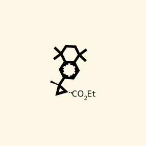 CCOC(=O)[C@@H]1C[C@]1(C)c1ccc2c(c1)C(C)(C)CCC2(C)C